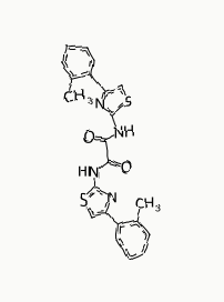 Cc1ccccc1-c1csc(NC(=O)C(=O)Nc2nc(-c3ccccc3C)cs2)n1